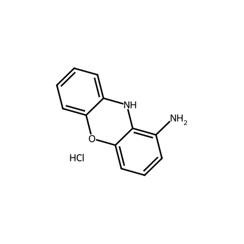 Cl.Nc1cccc2c1Nc1ccccc1O2